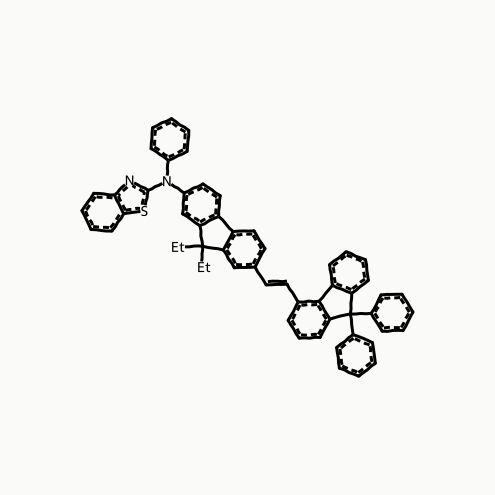 CCC1(CC)c2cc(/C=C/c3cccc4c3-c3ccccc3C4(c3ccccc3)c3ccccc3)ccc2-c2ccc(N(c3ccccc3)c3nc4ccccc4s3)cc21